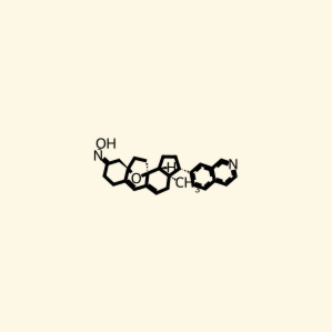 C[C@]12CC=C3C=C4CC/C(=N/O)C[C@]45CC[C@]3(O5)[C@@H]1CC[C@@H]2c1ccc2ccncc2c1